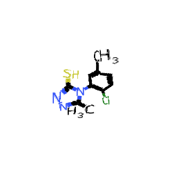 Cc1ccc(Cl)c(-n2c(C)nnc2S)c1